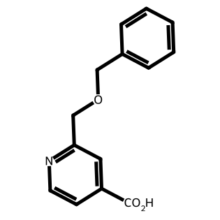 O=C(O)c1ccnc(COCc2ccccc2)c1